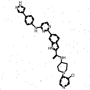 C=C(NC1CCN(c2ccncc2Cl)CC1)c1cc2ccc(-c3nccc(Nc4ccc(-c5cn[nH]c5)cc4)n3)cc2[nH]1